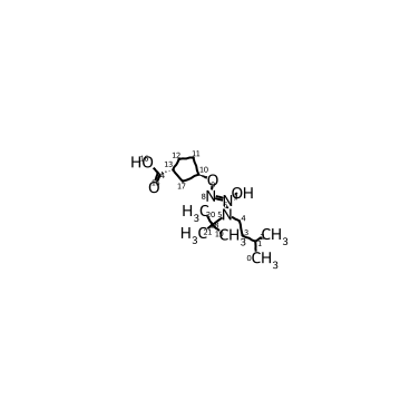 CC(C)CCN(/[N+](O)=N/O[C@@H]1CC[C@@H](C(=O)O)C1)C(C)(C)C